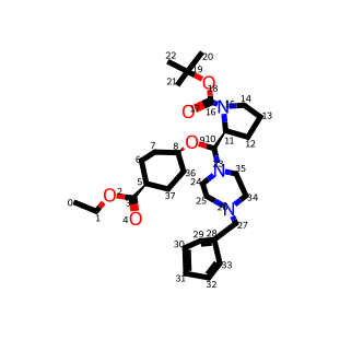 CCOC(=O)[C@H]1CC[C@H](OC([C@@H]2CCCN2C(=O)OC(C)(C)C)N2CCN(Cc3ccccc3)CC2)CC1